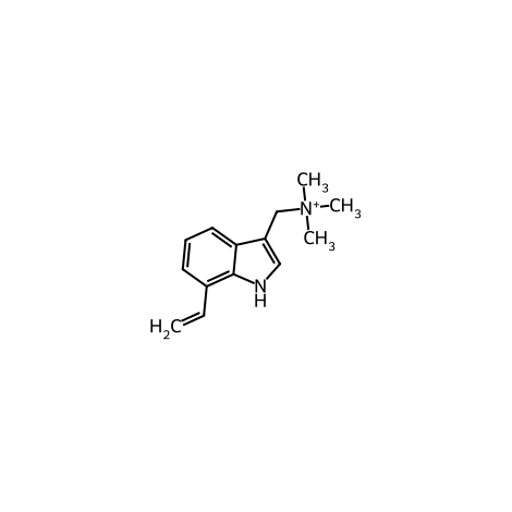 C=Cc1cccc2c(C[N+](C)(C)C)c[nH]c12